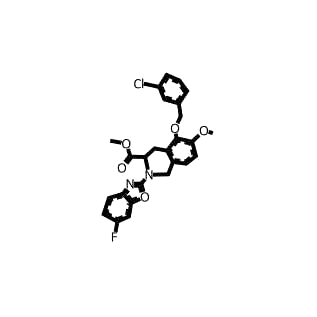 COC(=O)C1Cc2c(ccc(OC)c2OCc2cccc(Cl)c2)CN1c1nc2ccc(F)cc2o1